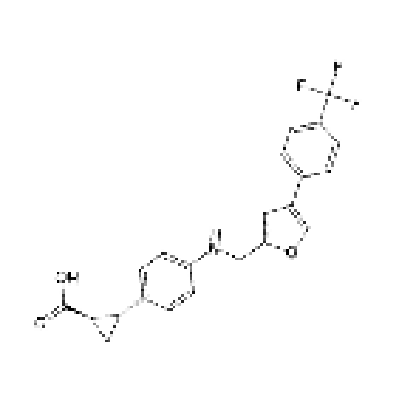 O=C(O)[C@@H]1C[C@H]1c1ccc(NCc2cc(-c3ccc(C(F)(F)F)cc3)co2)cc1